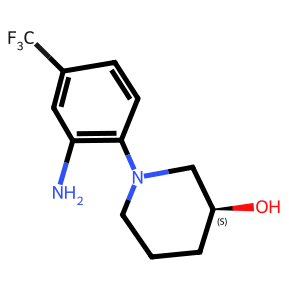 Nc1cc(C(F)(F)F)ccc1N1CCC[C@H](O)C1